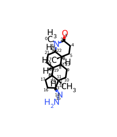 CN1C(=O)CC[C@]2(C)[C@H]3CC[C@]4(C)C(=NN)CC[C@H]4[C@@H]3CC[C@@H]12